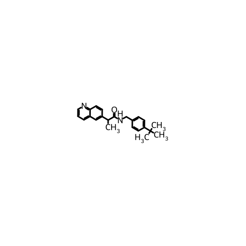 CC(C(=O)NCc1ccc(C(C)(C)C)cc1)c1ccc2ncccc2c1